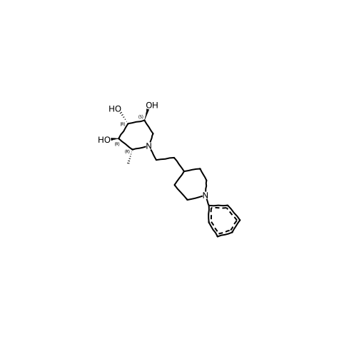 C[C@@H]1[C@@H](O)[C@H](O)[C@@H](O)CN1CCC1CCN(c2ccccc2)CC1